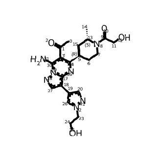 CC(=O)c1c([C@@H]2CCN(C(=O)CO)[C@@H](C)C2)nc2c(-c3cnn(CCO)c3)cnn2c1N